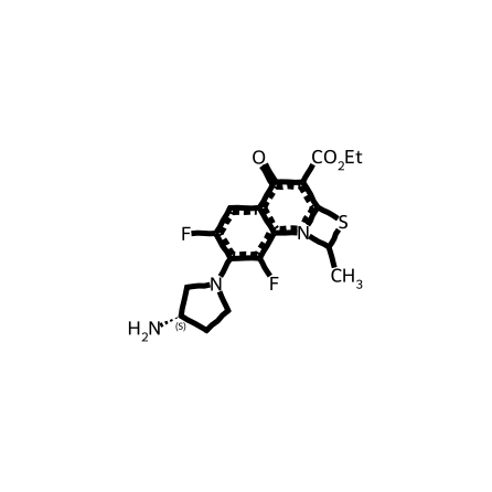 CCOC(=O)c1c2n(c3c(F)c(N4CC[C@H](N)C4)c(F)cc3c1=O)C(C)S2